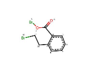 O=C(OBr)c1ccccc1CCBr